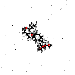 O=C(O)C(F)(OC(F)(OC(F)(C(=O)O)C(F)(F)F)C1(F)CC(F)(F)C(F)(C(F)(OC(F)(C(=O)O)C(F)(F)F)OC(F)(C(=O)O)C(F)(F)F)C(F)(F)C1(F)F)C(F)(F)F